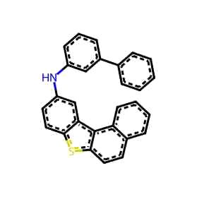 c1ccc(-c2cccc(Nc3ccc4sc5ccc6ccccc6c5c4c3)c2)cc1